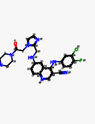 CN1CCN(C(=O)Cn2ccnc2CNc2ccc3ncc(C#N)c(Nc4ccc(F)c(Cl)c4)c3c2)CC1